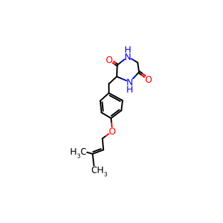 CC(C)=CCOc1ccc(CC2NC(=O)CNC2=O)cc1